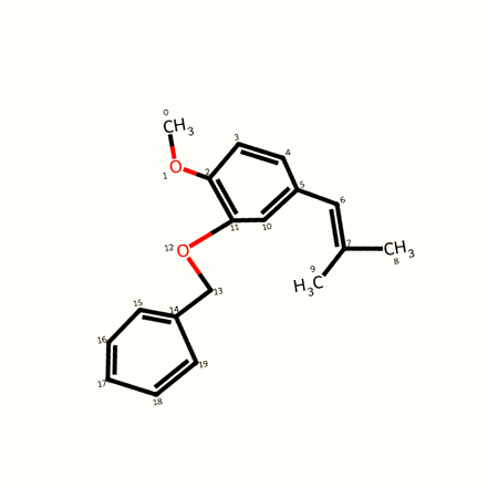 COc1ccc(C=C(C)C)cc1OCc1ccccc1